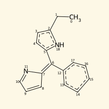 CCc1ccc(/C(=C2/C=CC=N2)c2ccccc2)[nH]1